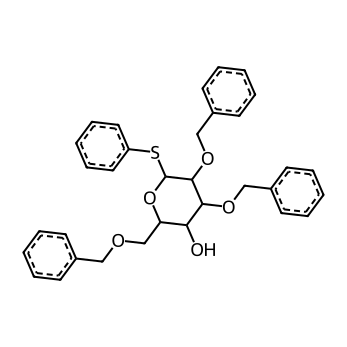 OC1C(COCc2ccccc2)OC(Sc2ccccc2)C(OCc2ccccc2)C1OCc1ccccc1